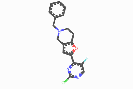 Fc1cnc(Cl)nc1-c1cc2c(o1)CCN(Cc1ccccc1)C2